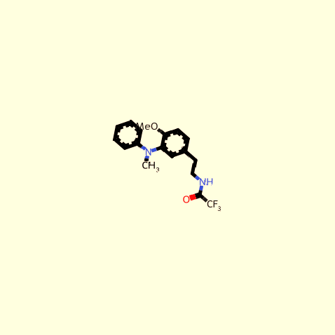 COc1ccc(CCNC(=O)C(F)(F)F)cc1N(C)c1ccccc1